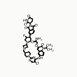 CC(C)n1c(=O)c(OCC(N)=O)cc2cc(Nc3nc(N4CCC(CN5CC(N6CCC(c7ccc8c(c7)C(=O)N(C7CCC(=O)NC7=O)C8=O)C(F)C6)C5)CC4)ncc3Cl)ccc21